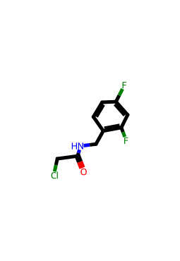 O=C(CCl)NCc1ccc(F)cc1F